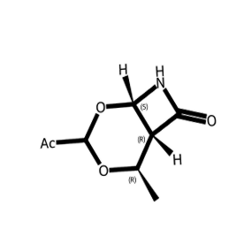 CC(=O)C1O[C@H](C)[C@H]2C(=O)N[C@H]2O1